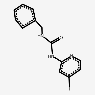 O=C(NCc1ccccc1)Nc1cc(I)ccn1